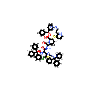 NCCc1ncccc1SC1=C(C(=O)OC(c2ccccc2)c2ccccc2)N2C(=O)C(NC(=O)/C(=N\OC(c3ccccc3)(c3ccccc3)c3ccccc3)c3nc(NC(c4ccccc4)(c4ccccc4)c4ccccc4)sc3Cl)C2CC1